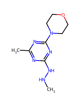 CNNc1nc(C)nc(N2CCOCC2)n1